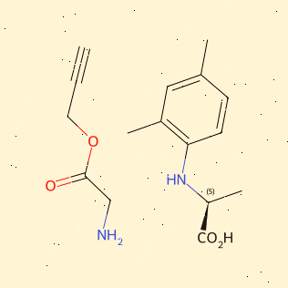 C#CCOC(=O)CN.Cc1ccc(N[C@@H](C)C(=O)O)c(C)c1